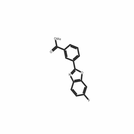 COC(=O)c1cccc(-c2nc3ccc(F)cc3o2)c1